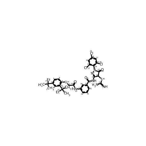 CCC(C)(C)c1ccc(OCC(=O)Nc2cccc(C(=O)NC3=NN(c4c(Cl)cc(Cl)cc4Cl)C(=O)C3SC(=N)N)c2)c(C(C)(C)CC)c1